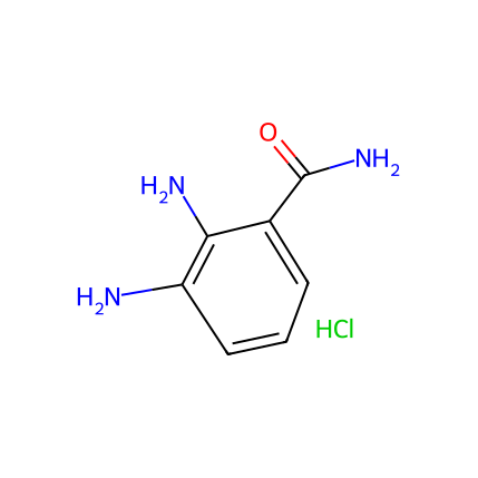 Cl.NC(=O)c1cccc(N)c1N